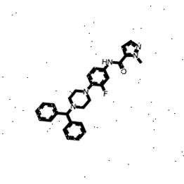 Cn1nccc1C(=O)Nc1ccc(N2CCN(C(c3ccccc3)c3ccccc3)CC2)c(F)c1